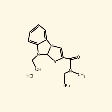 CN(CC(C)(C)C)C(=O)C1=CN2c3ccccc3N(CO)C2S1.Cl